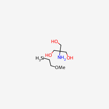 COCC[SiH3].NC(CO)(CO)CO